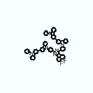 Fc1ccc2c3c(ccc(F)c13)-c1c(-c3cccc(-n4c5ccccc5c5cc(-c6ccc7c(c6)c6ccccc6n7-c6ccccc6)ccc54)c3)nc(-c3ccc(-n4c5ccccc5c5cc(-c6ccc7c(c6)c6ccccc6n7-c6ccccc6)ccc54)cc3)nc1-2